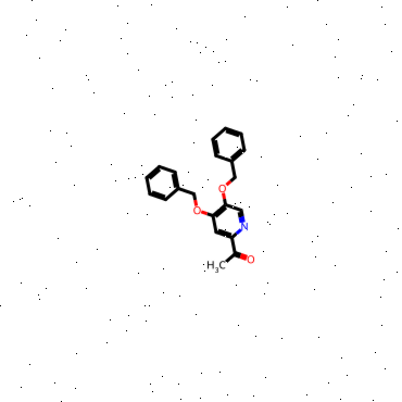 CC(=O)c1cc(OCc2ccccc2)c(OCc2ccccc2)cn1